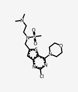 CN(C)CCN(Cc1cc2nc(Cl)nc(N3CCOCC3)c2s1)S(C)(=O)=O